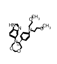 COCCN(CCOC)c1ccc([C@H]2COCOCN2c2ccc3[nH]cnc3c2)cc1